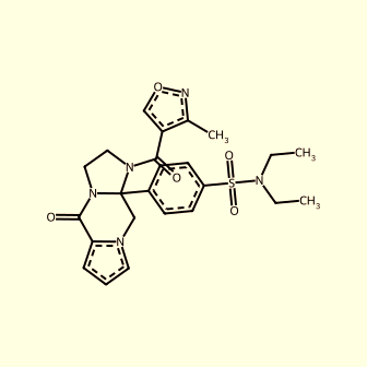 CCN(CC)S(=O)(=O)c1ccc(C23Cn4cccc4C(=O)N2CCN3C(=O)c2conc2C)cc1